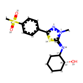 Cn1nc(-c2ccc(S(C)(=O)=O)cc2)sc1=NC1CCCC[C@H]1O